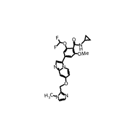 COc1cc(-c2cnc3cc(OCc4nccn4C)ccn23)cc(OC(F)F)c1C(=O)NC1CC1